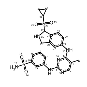 Cc1cnc(Nc2cccc(S(N)(=O)=O)c2)nc1Nc1ccc2c(c1)CNC2S(=O)(=O)C1CC1